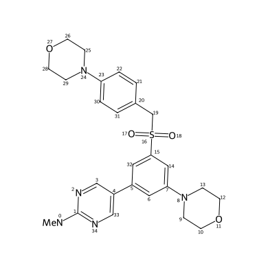 CNc1ncc(-c2cc(N3CCOCC3)cc(S(=O)(=O)Cc3ccc(N4CCOCC4)cc3)c2)cn1